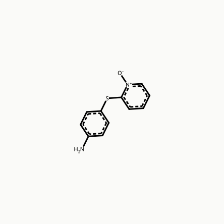 Nc1ccc(Sc2cccc[n+]2[O-])cc1